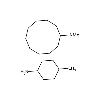 CC1CCC(N)CC1.CNC1CCCCCCCCC1